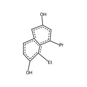 CCc1c(O)ccc2cc(O)cc(C(C)C)c12